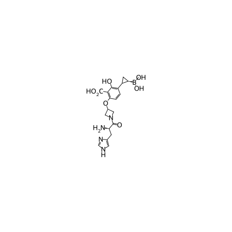 N[C@H](Cc1c[nH]cn1)C(=O)N1CC(Oc2ccc(C3C[C@H]3B(O)O)c(O)c2C(=O)O)C1